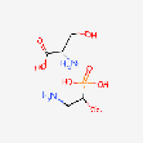 NCC(O)P(=O)(O)O.N[C@@H](CO)C(=O)O